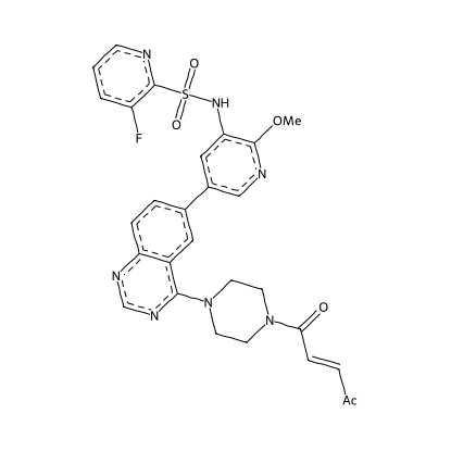 COc1ncc(-c2ccc3ncnc(N4CCN(C(=O)C=CC(C)=O)CC4)c3c2)cc1NS(=O)(=O)c1ncccc1F